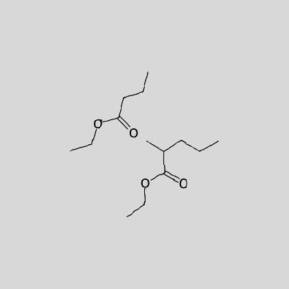 CCCC(=O)OCC.CCCC(C)C(=O)OCC